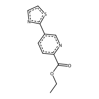 CCOC(=O)c1ccc(-c2nccs2)cn1